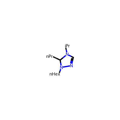 CCCCCCN1N=CN(C(C)C)C1CCC